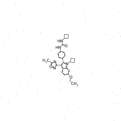 CCOc1ccc2c(-c3noc(C)n3)c(-c3ccc(NC(=O)NC4CCC4)cc3)n(C3CCC3)c2c1